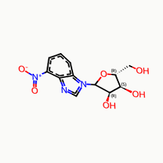 O=[N+]([O-])c1cccc2c1ncn2C1O[C@H](CO)[C@@H](O)[C@H]1O